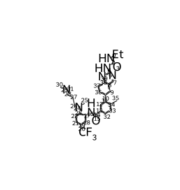 CCNC(=O)Nc1ncc2cc(-c3cc(C(=O)Nc4cc(C(F)(F)F)ccc4N(C)CCCN(C)C)ccc3C)ccc2n1